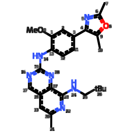 COc1cc(-c2nc(C)oc2C)ccc1Nc1ncc2cc(C)nc(NCC(C)(C)C)c2n1